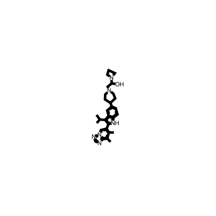 Cc1c(-c2[nH]c3ccc(C4CCN(CC(O)N5CCC5)CC4)cc3c2C(C)C)cn2ncnc2c1C